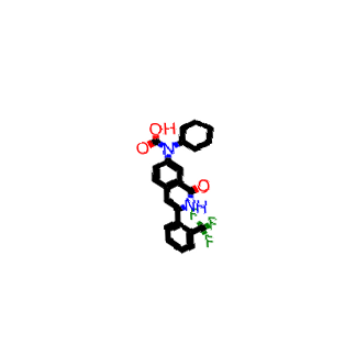 O=C(O)N(c1ccc2cc(-c3ccccc3C(F)(F)F)[nH]c(=O)c2c1)C1CCCCC1